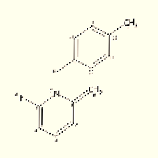 C=C1C=CC=C(F)N1Cc1ccc(C)cc1